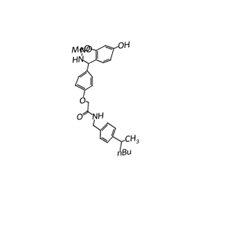 CCCCC(C)c1ccc(CNC(=O)COc2ccc(C(NN=O)c3ccc(O)cc3OC)cc2)cc1